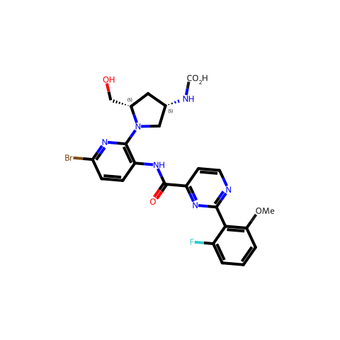 COc1cccc(F)c1-c1nccc(C(=O)Nc2ccc(Br)nc2N2C[C@@H](NC(=O)O)C[C@H]2CO)n1